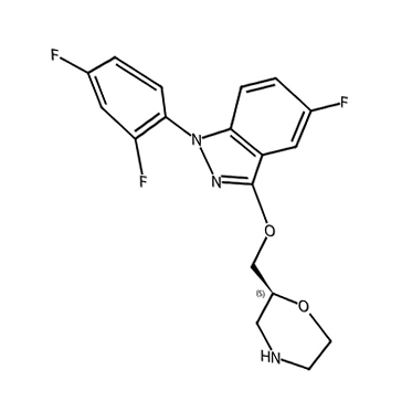 Fc1ccc(-n2nc(OC[C@@H]3CNCCO3)c3cc(F)ccc32)c(F)c1